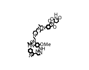 C=CC(=O)Nc1cc(Nc2nccc(-c3cn(C)c4ccccc34)n2)c(OC)cc1N(C)CCN1CCC(CN2C(C)CN(c3ccc4c(c3)C(=O)N(C3CCC(=O)NC3=O)C4=O)CC2C)CC1